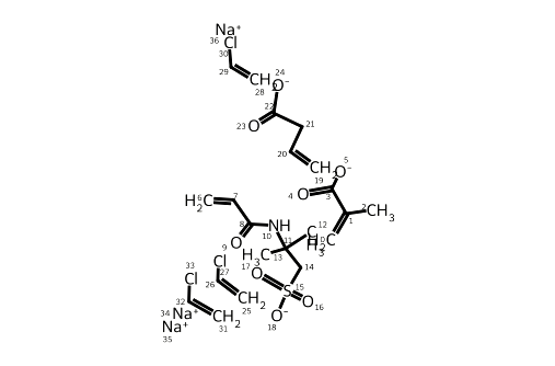 C=C(C)C(=O)[O-].C=CC(=O)NC(C)(C)CS(=O)(=O)[O-].C=CCC(=O)[O-].C=CCl.C=CCl.C=CCl.[Na+].[Na+].[Na+]